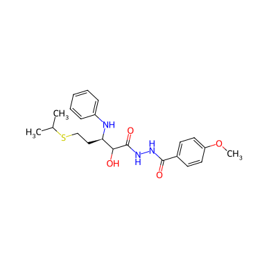 COc1ccc(C(=O)NNC(=O)C(O)[C@@H](CCSC(C)C)Nc2ccccc2)cc1